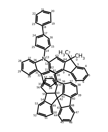 CC1(C)c2ccccc2-c2ccc(N(c3ccc(-c4ccccc4)cc3)c3ccccc3-c3ccc(-c4cccc5c4C4(c6ccccc6-5)c5ccccc5C5C=CC=CC54)cc3)cc21